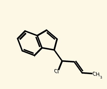 C/C=C/C(Cl)C1C=Cc2ccc[c]c21